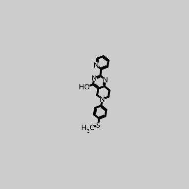 CSc1ccc(N2CCc3nc(-c4ccccn4)nc(O)c3C2)cc1